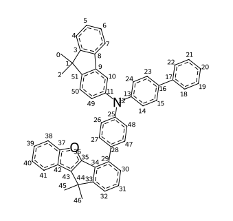 CC1(C)c2ccccc2-c2cc(N(c3ccc(-c4ccccc4)cc3)c3ccc(-c4cccc5c4-c4oc6ccccc6c4C5(C)C)cc3)ccc21